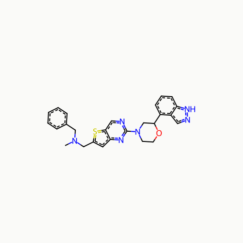 CN(Cc1ccccc1)Cc1cc2nc(N3CCOC(c4cccc5[nH]ncc45)C3)ncc2s1